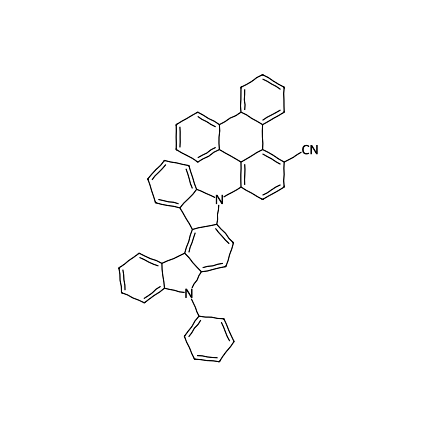 N#Cc1ccc(-n2c3ccccc3c3c4c5ccccc5n(-c5ccccc5)c4ccc32)c2c3ccccc3c3ccccc3c12